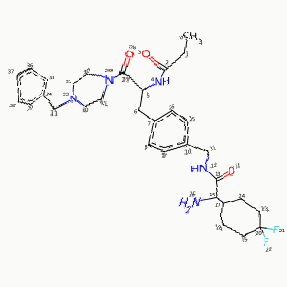 CCC(=O)NC(Cc1ccc(CNC(=O)C(N)C2CCC(F)(F)CC2)cc1)C(=O)N1CCN(Cc2ccccc2)CC1